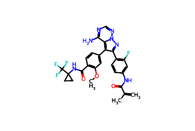 C=C(C)C(=O)Nc1ccc(-c2nn3ncnc(N)c3c2-c2ccc(C(=O)NC3(C(F)(F)F)CC3)c(OC)c2)c(F)c1